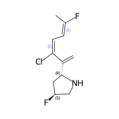 C=C(/C(Cl)=C\C=C(/C)F)[C@H]1C[C@H](F)CN1